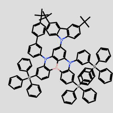 CC(C)(C)c1ccc(-c2cccc(N3c4cc([Si](c5ccccc5)(c5ccccc5)c5ccccc5)ccc4B4c5ccc([Si](c6ccccc6)(c6ccccc6)c6ccccc6)cc5N(c5cccc([Si](c6ccccc6)(c6ccccc6)c6ccccc6)c5)c5cc(-n6c7ccc(C(C)(C)C)cc7c7cc(C(C)(C)C)ccc76)cc3c54)c2)cc1